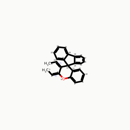 C/C=C1\C(=C/C)Oc2ccccc2C12c1ccccc1-c1ccccc12